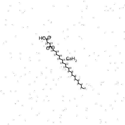 CCCCCCCCCCCCCCCCCCCCOC(=O)CCC(=O)O.[CaH2]